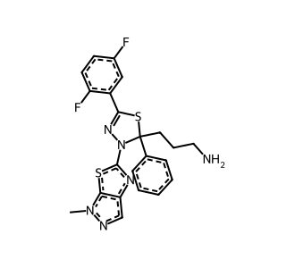 Cn1ncc2nc(N3N=C(c4cc(F)ccc4F)SC3(CCCN)c3ccccc3)sc21